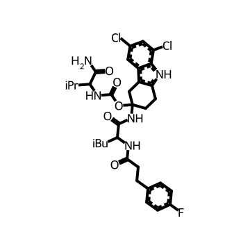 CCC(C)C(NC(=O)CCc1ccc(F)cc1)C(=O)NC1(OC(=O)NC(C(N)=O)C(C)C)CCc2[nH]c3c(Cl)cc(Cl)cc3c2C1